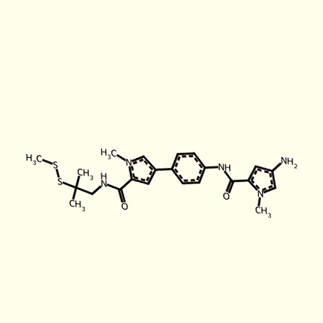 CSSC(C)(C)CNC(=O)c1cc(-c2ccc(NC(=O)c3cc(N)cn3C)cc2)cn1C